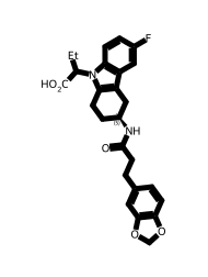 CCC(C(=O)O)n1c2c(c3cc(F)ccc31)C[C@@H](NC(=O)CCc1ccc3c(c1)OCO3)CC2